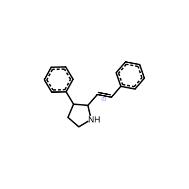 C(=C\C1NCCC1c1ccccc1)/c1ccccc1